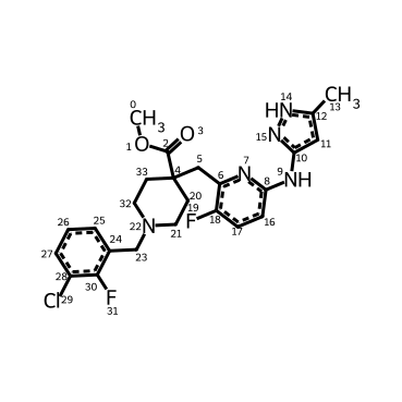 COC(=O)C1(Cc2nc(Nc3cc(C)[nH]n3)ccc2F)CCN(Cc2cccc(Cl)c2F)CC1